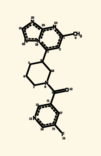 Cc1cc(C2CCCN(C(=O)c3cncc(F)c3)C2)n2ncnc2n1